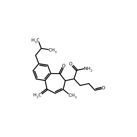 C=C1C=C(C)C(C(CCC=O)C(N)=O)C(=O)c2cc(CC(C)C)ccc21